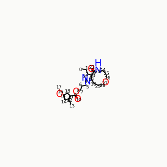 CCc1nn(CCCOC(=O)C2=C(C)C=C(OC)C2)c2c1C(=O)NCCCOCCC2